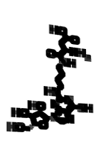 NC(CC(=O)O)C(=O)NCCCCNc1nc(S)c2ncn([C@@H]3O[C@H](CO)C(O)[C@@H]3O)c2n1